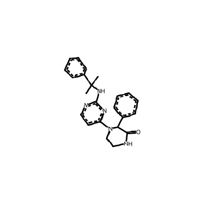 CC(C)(Nc1nccc(N2CCNC(=O)C2c2ccccc2)n1)c1ccccc1